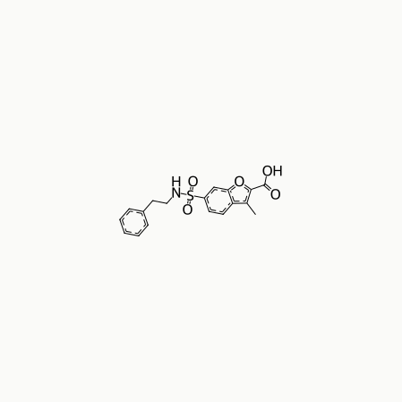 Cc1c(C(=O)O)oc2cc(S(=O)(=O)NCCc3ccccc3)ccc12